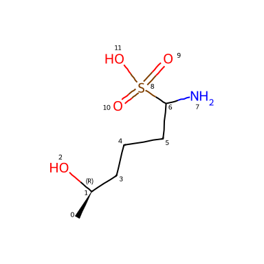 C[C@@H](O)CCCC(N)S(=O)(=O)O